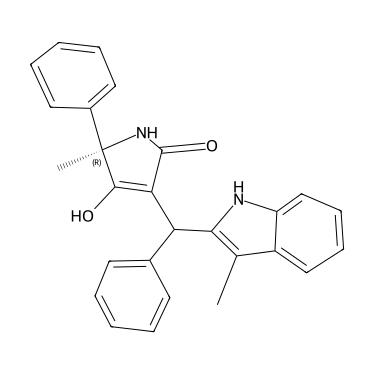 Cc1c(C(C2=C(O)[C@@](C)(c3ccccc3)NC2=O)c2ccccc2)[nH]c2ccccc12